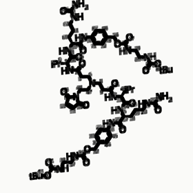 CC(C)[C@H](NC(=O)CCN(CCC(=O)N[C@H](C(=O)N[C@@H](CCCNC(N)=O)C(=O)Nc1ccc(COC(=O)NCCNC(=O)OC(C)(C)C)cc1)C(C)C)CCN1C(=O)C=CC1=O)C(=O)N[C@@H](CCCNC(N)=O)C(=O)Nc1ccc(COC(=O)NCCNC(=O)OC(C)(C)C)cc1